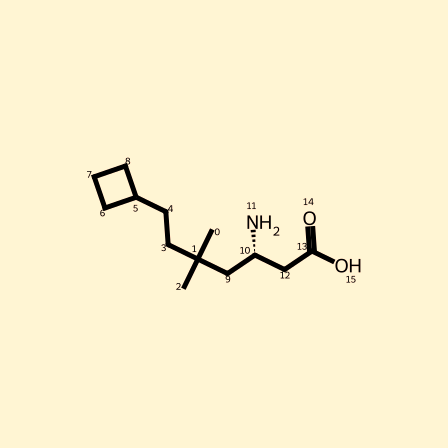 CC(C)(CCC1CCC1)C[C@H](N)CC(=O)O